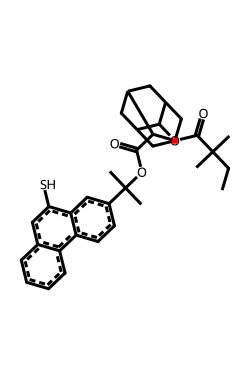 CCC(C)(C)C(=O)OC1C2CC3CC1CC(C2)C3C(=O)OC(C)(C)c1ccc2c(c1)c(S)cc1ccccc12